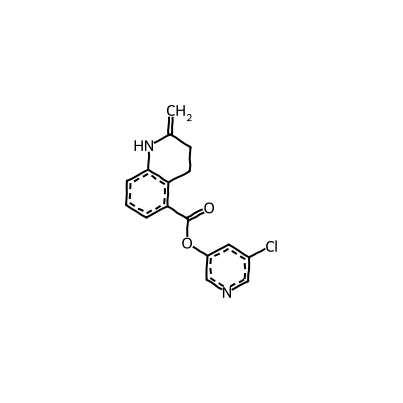 C=C1CCc2c(cccc2C(=O)Oc2cncc(Cl)c2)N1